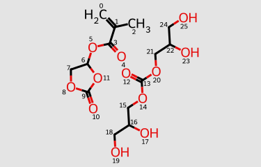 C=C(C)C(=O)OC1COC(=O)O1.O=C(OCC(O)CO)OCC(O)CO